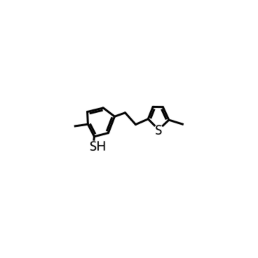 Cc1ccc(CCc2ccc(C)c(S)c2)s1